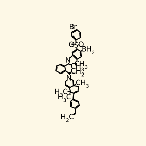 Bc1cc(C)c(/N=C(\C)c2ccccc2C(=C)N2CC=C3C(C)(CC=C(c4ccc(C=C)cc4)C3(C)C)C2)cc1S(=O)(=O)c1ccc(Br)cc1